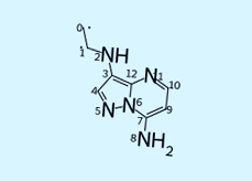 [CH2][CH]Nc1cnn2c(N)ccnc12